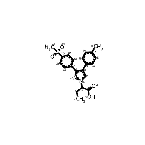 CCC(C(=O)O)n1cc(-c2ccc(C)cc2)c(-c2ccc(S(C)(=O)=O)cc2)n1